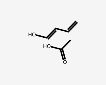 C=CC=CO.CC(=O)O